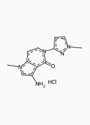 Cl.Cn1ccc(-n2ccc3c(c(N)cn3C)c2=O)n1